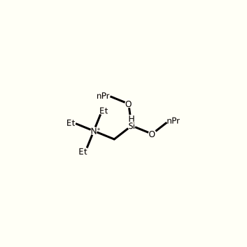 CCCO[SiH](C[N+](CC)(CC)CC)OCCC